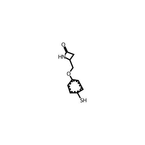 O=C1CC(COc2ccc(S)cc2)N1